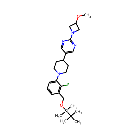 COC1CN(c2ncc(C3CCN(c4cccc(CO[Si](C)(C)C(C)(C)C)c4F)CC3)cn2)C1